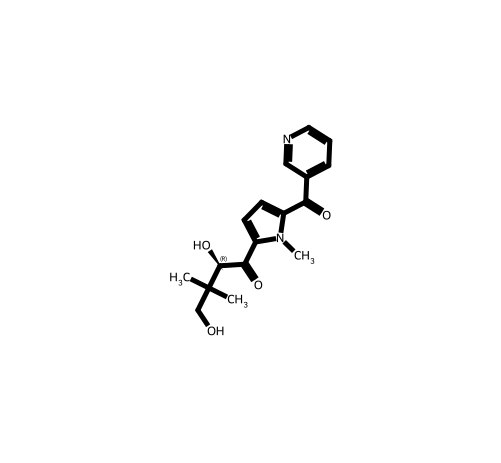 Cn1c(C(=O)c2cccnc2)ccc1C(=O)[C@H](O)C(C)(C)CO